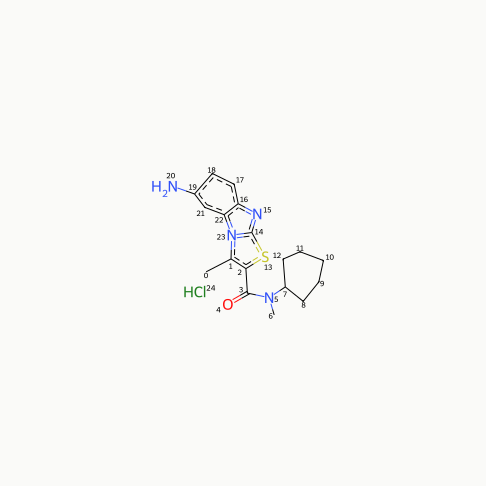 Cc1c(C(=O)N(C)C2CCCCC2)sc2nc3ccc(N)cc3n12.Cl